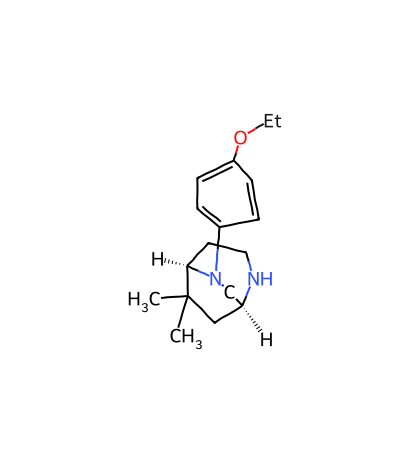 CCOc1ccc(N2C[C@@H]3CC(C)(C)[C@H]2CCN3)cc1